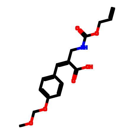 C=CCOC(=O)NCC(=Cc1ccc(OCOC)cc1)C(=O)O